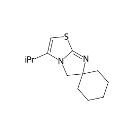 CC(C)C1=CSC2=NC3(CCCCC3)CN12